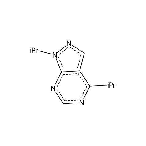 CC(C)c1ncnc2c1cnn2C(C)C